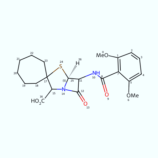 COc1cccc(OC)c1C(=O)NC1C(=O)N2C(C(=O)O)C3(CCCCCC3)S[C@@H]12